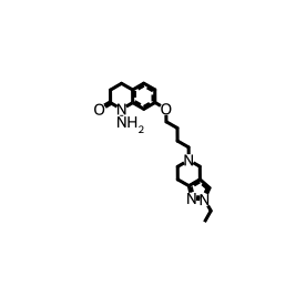 CCn1cc2c(n1)CCN(CCCCOc1ccc3c(c1)N(N)C(=O)CC3)C2